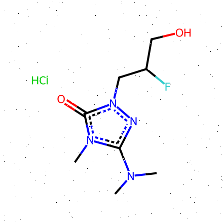 CN(C)c1nn(CC(F)CO)c(=O)n1C.Cl